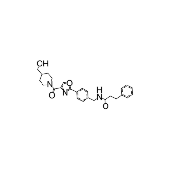 O=C(CCc1ccccc1)NCc1ccc(-c2nc(C(=O)N3CCC(CO)CC3)co2)cc1